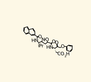 CC(C)[C@H](NC(=O)c1ccc2ccccc2c1)C1=NOC(C(=O)N[C@@H](CC(=O)O)C(=O)COc2ccccc2)C1